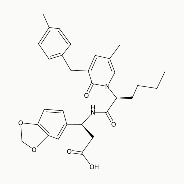 CCCC[C@@H](C(=O)N[C@@H](CC(=O)O)c1ccc2c(c1)OCO2)n1cc(C)cc(Cc2ccc(C)cc2)c1=O